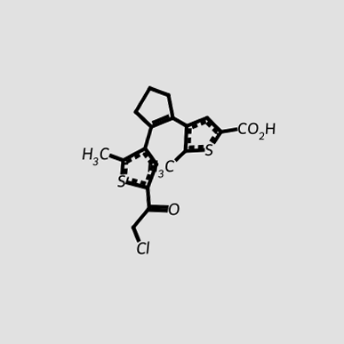 Cc1sc(C(=O)O)cc1C1=C(c2cc(C(=O)CCl)sc2C)CCC1